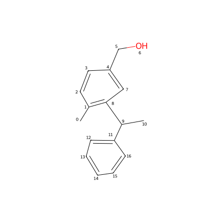 Cc1ccc(CO)cc1C(C)c1ccccc1